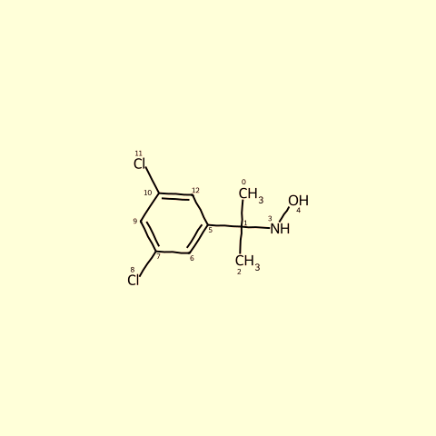 CC(C)(NO)c1cc(Cl)cc(Cl)c1